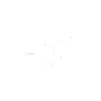 CC(C)(C)CCN1C(=O)C(C#N)=C(O)C1C(C)(C)C